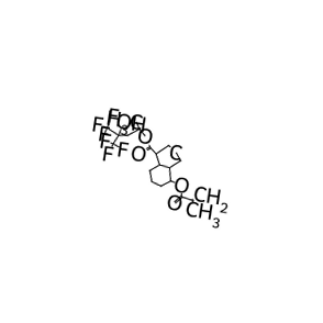 C=C(C)C(=O)OC1CCCC2C(C(=O)OC(C)CC(O)(C(F)(F)F)C(F)(F)F)CCCC12